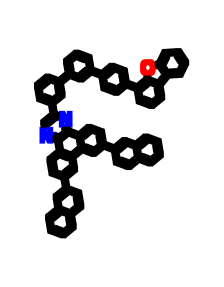 c1cc(-c2ccc(-c3cccc4c3oc3ccccc34)cc2)cc(-c2cccc(-c3cnc4c5ccc(-c6ccc7ccccc7c6)cc5c5cc(-c6ccc7ccccc7c6)ccc5c4n3)c2)c1